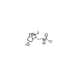 COc1ccc2[nH]c(I)c(CCNC(=O)C3CC3)c2c1